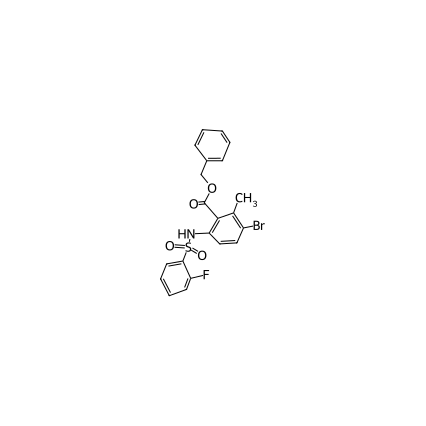 Cc1c(Br)ccc(NS(=O)(=O)c2ccccc2F)c1C(=O)OCc1ccccc1